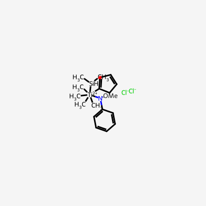 CO[N](c1ccccc1)[Ti+2]([CH3])([CH3])([CH3])([CH3])([C]1=CC=CC1)[SiH](C)C.[Cl-].[Cl-]